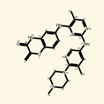 C=C1Oc2ccc(Nc3nc(Nc4cnc(N5CCN(C)CC5)c(C)c4)ncc3C)cc2NC1=O